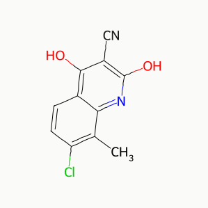 Cc1c(Cl)ccc2c(O)c(C#N)c(O)nc12